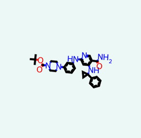 CC(C)(C)OC(=O)N1CCN(c2cccc(Nc3cc(NC4(c5ccccc5)CC4)c(C(N)=O)cn3)c2)CC1